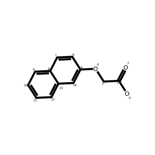 [O]C(=O)COc1ccc2ccccc2c1